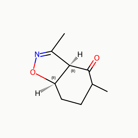 CC1=NO[C@@H]2CCC(C)C(=O)[C@H]12